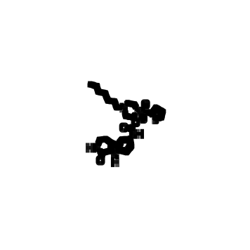 CCCCCCCN1CCN(S(=O)(=O)c2cccs2)C(OC(=O)Nc2ccc3[nH]c4c(c3c2)CCNC4=O)C1